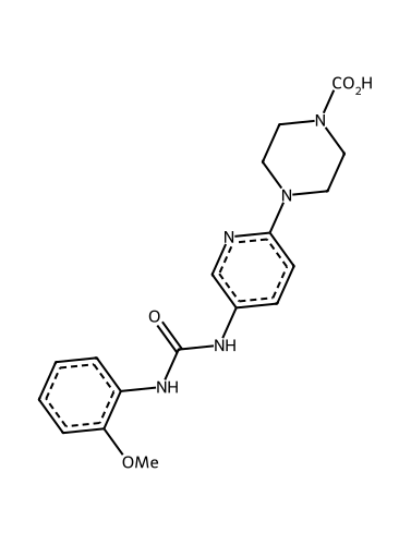 COc1ccccc1NC(=O)Nc1ccc(N2CCN(C(=O)O)CC2)nc1